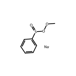 COOS(=O)c1ccccc1.[Na]